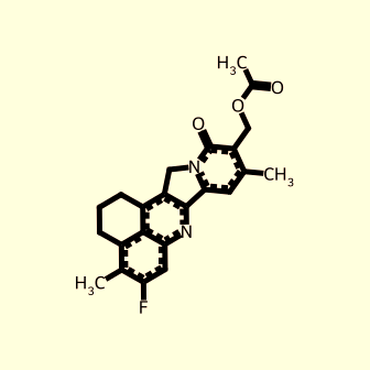 CC(=O)OCc1c(C)cc2n(c1=O)Cc1c-2nc2cc(F)c(C)c3c2c1CCC3